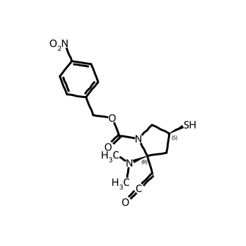 CN(C)[C@]1(C=C=O)C[C@H](S)CN1C(=O)OCc1ccc([N+](=O)[O-])cc1